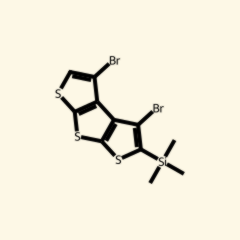 C[Si](C)(C)c1sc2sc3scc(Br)c3c2c1Br